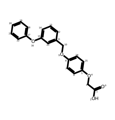 O=C(O)COc1ccc(OCc2cccc(Oc3ccccc3)c2)cc1